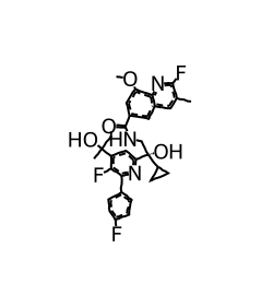 COc1cc(C(=O)NC[C@](O)(c2cc(C(C)(C)O)c(F)c(-c3ccc(F)cc3)n2)C2CC2)cc2cc(C)c(F)nc12